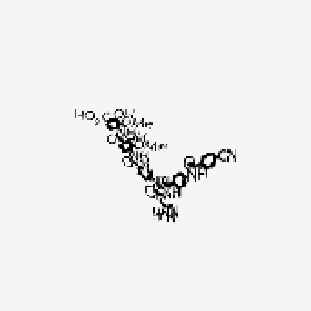 COc1c(NC(=O)c2ccc(NC(=O)c3ccc(NC(=O)[C@H](Cc4cnn[nH]4)NC(=O)c4ccc(NC(=O)c5ccc(C#N)cc5)cc4)cn3)c(OC)c2O)ccc(C(=O)O)c1O